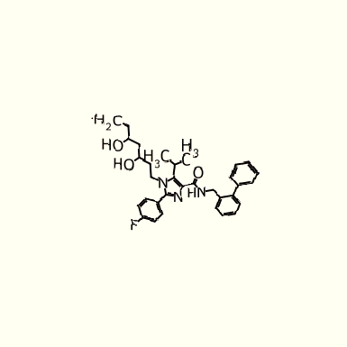 [CH2]CC(O)CC(O)CCn1c(-c2ccc(F)cc2)nc(C(=O)NCc2ccccc2-c2ccccc2)c1C(C)C